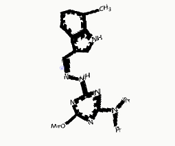 COc1nc(N/N=C\c2c[nH]c3c(C)cccc23)nc(N(C(C)C)C(C)C)n1